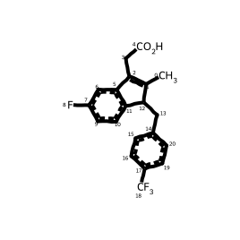 CC1=C(CC(=O)O)c2cc(F)ccc2C1Cc1ccc(C(F)(F)F)cc1